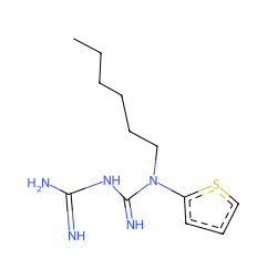 CCCCCCN(C(=N)NC(=N)N)c1cccs1